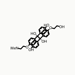 CNCCOc1ccc([C@@](O)(c2ccc(O)cc2)[C@](O)(c2ccc(O)cc2)c2ccc(OCCO)cc2)cc1